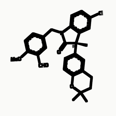 COc1ccc(CN2C(=O)[C@@](C)(c3ccc4c(c3)CCC(C)(C)O4)c3cc(Cl)ccc32)cc1C=O